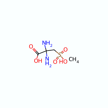 C.NC(N)(CS(=O)(=O)O)C(=O)O